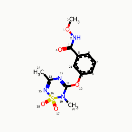 CONC(=O)c1cccc(OC2=NC(C)=NS(=O)(=O)N2C)c1